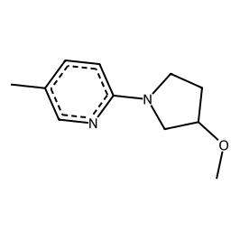 COC1CCN(c2ccc(C)cn2)C1